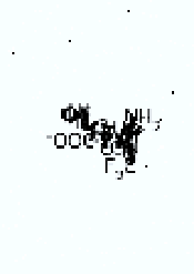 Nc1nc(/C(=N/OCC(F)(F)F)C(=O)N[C@@H]2C(=O)N3C(C(=O)[O-])=C(Cn4cc[n+]5ccccc45)CS[C@H]23)cs1